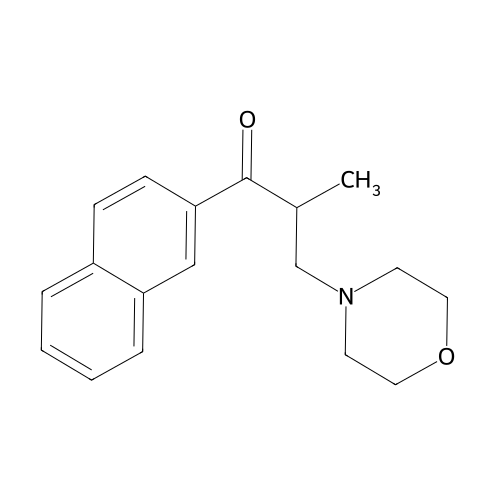 CC(CN1CCOCC1)C(=O)c1ccc2ccccc2c1